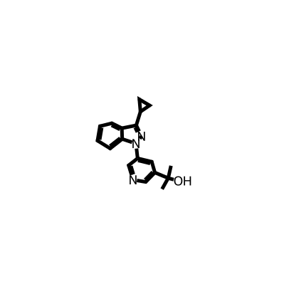 CC(C)(O)c1cncc(-n2nc(C3CC3)c3ccccc32)c1